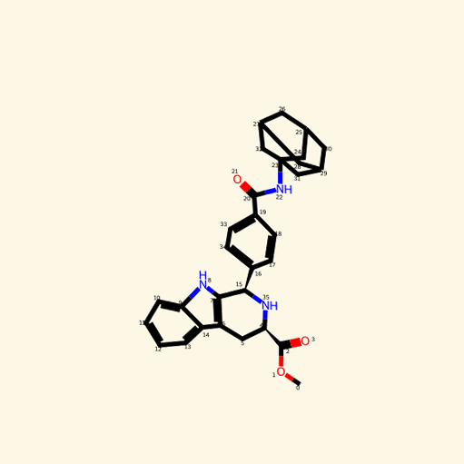 COC(=O)[C@H]1Cc2c([nH]c3ccccc23)[C@@H](c2ccc(C(=O)NC34CC5CC(CC(C5)C3)C4)cc2)N1